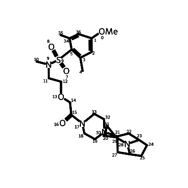 COc1cc(C)c(S(=O)(=O)N(C)CCOCC(=O)N2CCN(C3CC4CCC(C3)N4C3CC3)CC2)c(C)c1